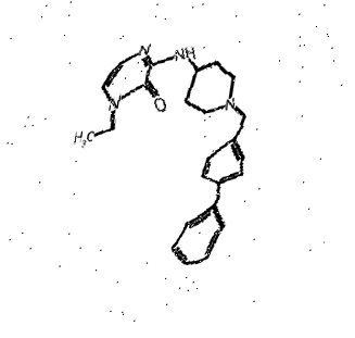 CCn1ccnc(NC2CCN(Cc3ccc(-c4ccccc4)cc3)CC2)c1=O